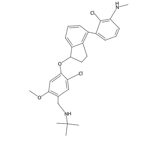 CNc1cccc(-c2cccc3c2CCC3Oc2cc(OC)c(CNC(C)(C)C)cc2Cl)c1Cl